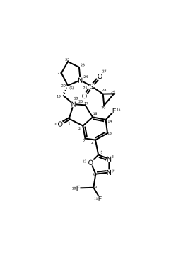 O=C1c2cc(-c3nnc(C(F)F)o3)cc(F)c2CN1C[C@@H]1CCCN1S(=O)(=O)C1CC1